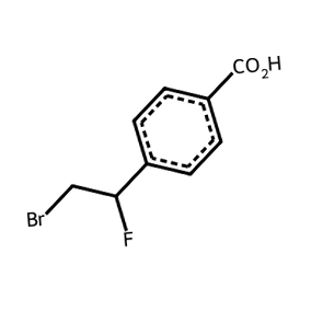 O=C(O)c1ccc(C(F)CBr)cc1